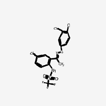 C/C(=N\Oc1ccc(Cl)c(Cl)c1)c1cc(Cl)ccc1NS(=O)(=O)C(F)(F)F